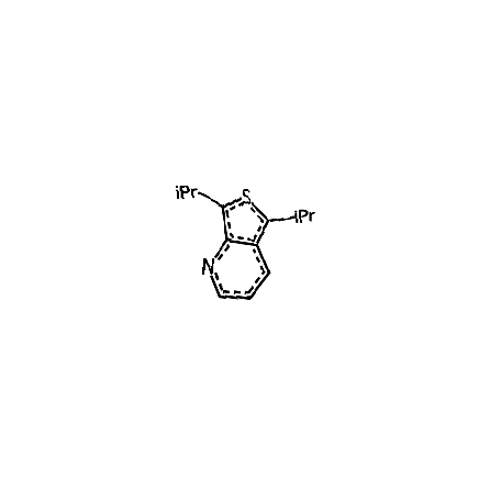 CC(C)c1sc(C(C)C)c2ncccc12